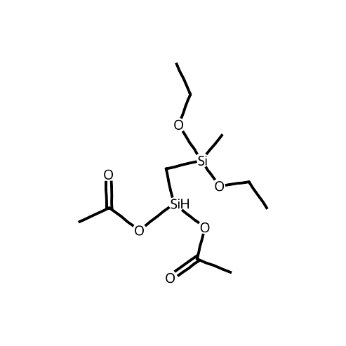 CCO[Si](C)(C[SiH](OC(C)=O)OC(C)=O)OCC